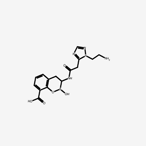 NCCn1ncnc1CC(=O)NC1Cc2cccc(C(=O)O)c2OB1O